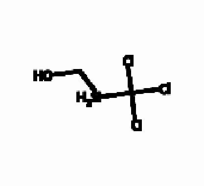 OC[SiH2]C(Cl)(Cl)Cl